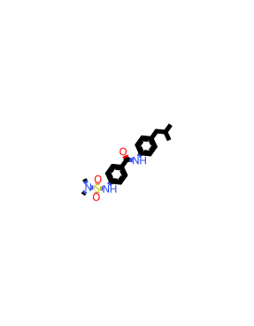 CC(C)Cc1ccc(NC(=O)c2ccc(NS(=O)(=O)N(C)C)cc2)cc1